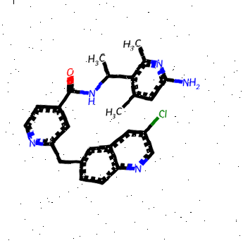 Cc1cc(N)nc(C)c1C(C)NC(=O)c1ccnc(Cc2ccc3ncc(Cl)cc3c2)c1